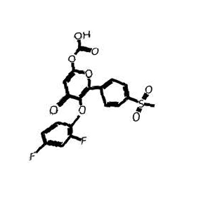 CS(=O)(=O)c1ccc(-c2oc(OC(=O)O)cc(=O)c2Oc2ccc(F)cc2F)cc1